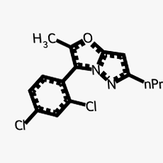 CCCc1cc2oc(C)c(-c3ccc(Cl)cc3Cl)n2n1